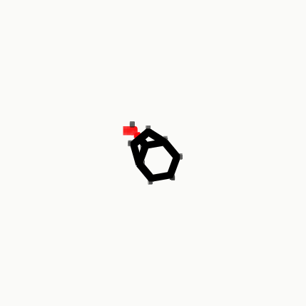 OC1C2CCCC1CC2